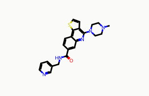 CN1CCN(c2nc3cc(C(=O)NCc4cccnc4)ccc3c3sccc23)CC1